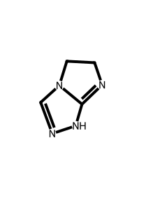 C1=NNC2=NCCN12